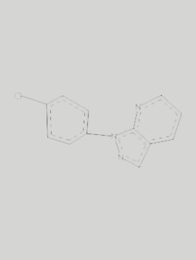 Clc1ccc(-n2ncc3cccnc32)cc1